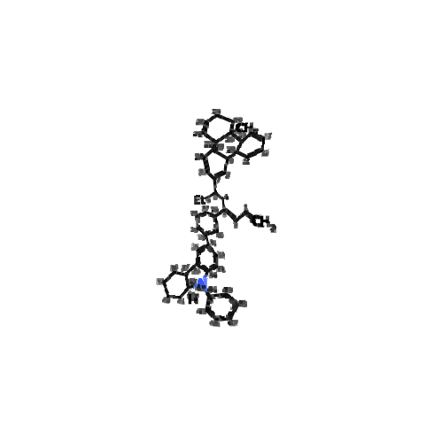 C=C/C=C(\CC(CC)C1=CC2C3C=CC=CC3C3(C)CCC=CC3C2C=C1)c1cccc(-c2ccc3c(c2)C2CCCC[C@@H]2N3c2ccccc2)c1